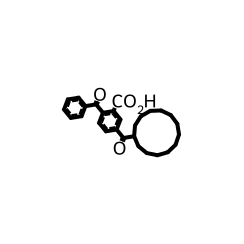 O=C(O)c1cc(C(=O)C2CCCCCCCCCCCC2)ccc1C(=O)c1ccccc1